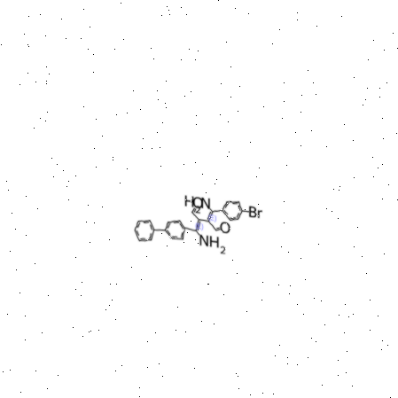 N/C(=C(C=O)\C(C=O)=C(/N)c1ccc(-c2ccccc2)cc1)c1ccc(Br)cc1